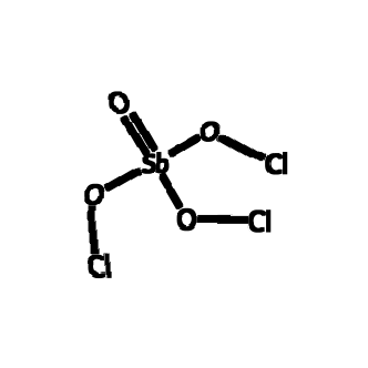 [O]=[Sb]([O]Cl)([O]Cl)[O]Cl